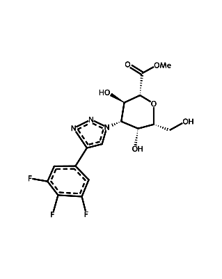 COC(=O)[C@@H]1O[C@H](CO)[C@H](O)[C@H](n2cc(-c3cc(F)c(F)c(F)c3)nn2)[C@H]1O